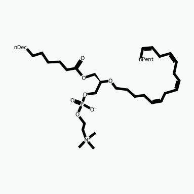 CCCCC/C=C\C/C=C\C/C=C\C/C=C\CCCCO[C@H](COC(=O)CCCCCCCCCCCCCCC)COP(=O)([O-])OCC[N+](C)(C)C